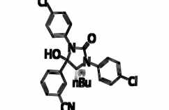 CCCC[C@H]1N(c2ccc(Cl)cc2)C(=O)N(c2ccc(Cl)cc2)C1(O)c1cccc(C#N)c1